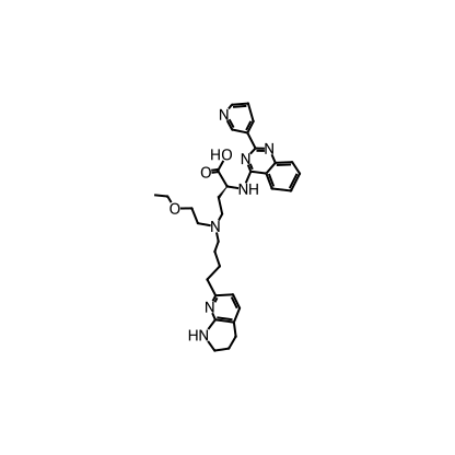 CCOCCN(CCCCc1ccc2c(n1)NCCC2)CC[C@H](Nc1nc(-c2cccnc2)nc2ccccc12)C(=O)O